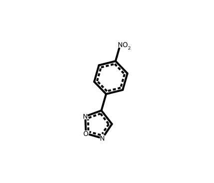 O=[N+]([O-])c1ccc(-c2cnon2)cc1